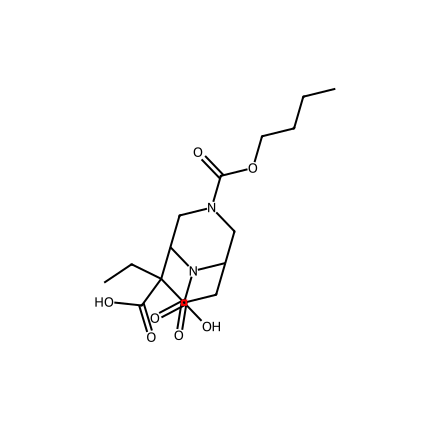 CCCCOC(=O)N1CC2CC(=O)C(CC)(C(=O)O)C(C1)N2C(=O)O